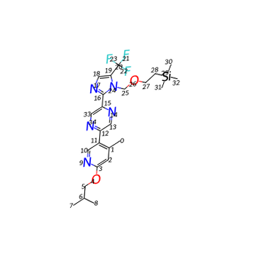 Cc1cc(OCC(C)C)ncc1-c1cnc(-c2ncc(C(F)(F)F)n2COCC[Si](C)(C)C)cn1